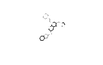 O=c1c(Cn2ccnn2)cn(CCN2CCOCC2)c2ncc(NC3Cc4ccccc4C3)cc12